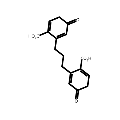 O=C1C=C(CCCC2=CC(=O)CC=C2C(=O)O)C(C(=O)O)=CC1